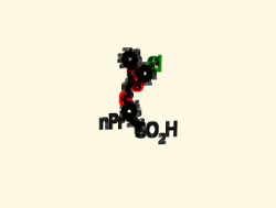 CCCc1cc(OCC[C@@H](C)Oc2ccc(Cl)cc2Oc2ccccc2)ccc1CCC(=O)O